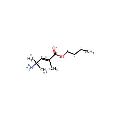 CCCCOC(=O)/C(C)=C/C(C)(C)N